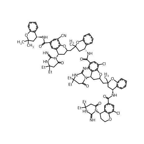 CCC1(CC)CC(=O)N([C@@H]2CCOc3c(Cl)cc(C(=O)N[C@H]4CC(C)(CC5C[C@@H](N6C(=N)NC(CC)(CC)CC6=O)c6cc(C(=O)N[C@@H]7CC(C)(CC8C[C@@H](N9C(=N)NC(CC)(CC)CC9=O)c9cc(C(=O)N[C@H]%10CC(C)(C)Oc%11ccccc%11%10)cc(C#N)c9O8)Oc8ccccc87)cc(Cl)c6O5)Oc5ccccc54)cc32)C(=N)N1